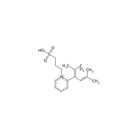 CC(C)=CC(=C(C)C)c1cccc[n+]1CCCS(=O)(=O)O